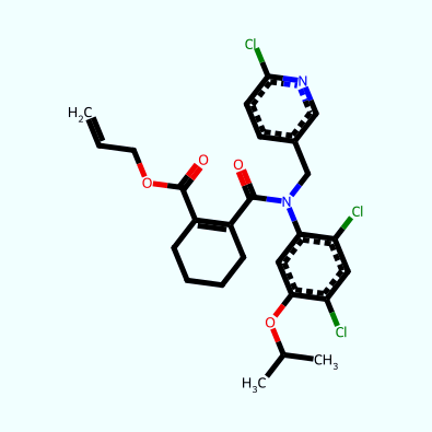 C=CCOC(=O)C1=C(C(=O)N(Cc2ccc(Cl)nc2)c2cc(OC(C)C)c(Cl)cc2Cl)CCCC1